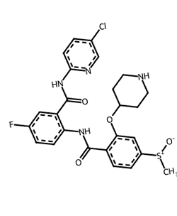 C[S+]([O-])c1ccc(C(=O)Nc2ccc(F)cc2C(=O)Nc2ccc(Cl)cn2)c(OC2CCNCC2)c1